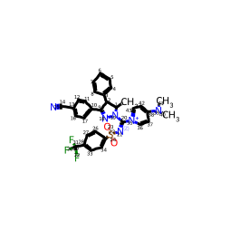 CC1C(c2ccccc2)C(c2ccc(C#N)cc2)=NN1/C(=N\S(=O)(=O)c1ccc(C(F)(F)F)cc1)[n+]1ccc(N(C)C)cc1